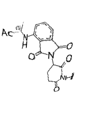 CC(=O)[C@H](C)Nc1cccc2c1C(=O)N(C1CCC(=O)NC1=O)C2=O